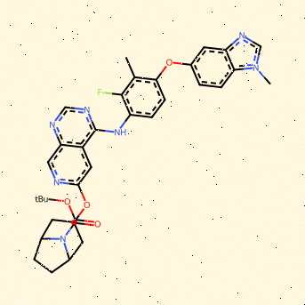 Cc1c(Oc2ccc3c(c2)ncn3C)ccc(Nc2ncnc3cnc(OC4CC5CCC(C4)N5C(=O)OC(C)(C)C)cc23)c1F